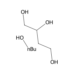 CCCCO.OCCC(O)CO